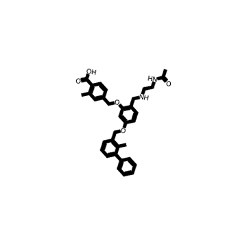 CC(=O)NCCNCc1ccc(OCc2cccc(-c3ccccc3)c2C)cc1OCc1ccc(C(=O)O)c(C)c1